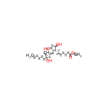 C#CC(O)(C/C=C/[C@@H]1[C@@H](C/C=C\CCCC(=O)OC)[C@H](O)C[C@H]1O)CCCCCC